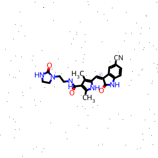 Cc1[nH]c(/C=C2\C(=O)Nc3ccc(C#N)cc32)c(C)c1C(=O)NCCN1CCNC1=O